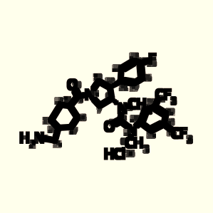 CN(C(=O)N(C)[C@@H]1CN(C(=O)C2CCC(CN)CC2)C[C@H]1c1ccc(F)cc1)c1cc(C(F)(F)F)cc(C(F)(F)F)c1.Cl